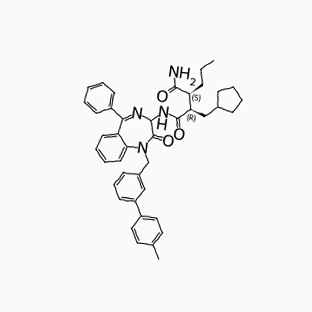 CCC[C@H](C(N)=O)[C@@H](CC1CCCC1)C(=O)NC1N=C(c2ccccc2)c2ccccc2N(Cc2cccc(-c3ccc(C)cc3)c2)C1=O